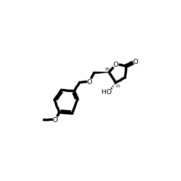 COc1ccc(COC[C@H]2OC(=O)C[C@@H]2O)cc1